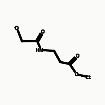 CCOC(=O)CCNC(=O)C[O]